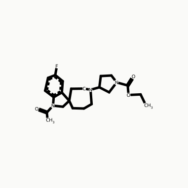 CCOC(=O)N1CCC(N2CCCC3(CC2)CN(C(C)=O)c2ccc(F)cc23)C1